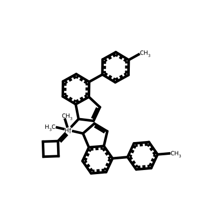 Cc1ccc(-c2cccc3c2C=C[CH]3[Hf]([CH3])([CH3])(=[C]2CCC2)[CH]2C=Cc3c(-c4ccc(C)cc4)cccc32)cc1